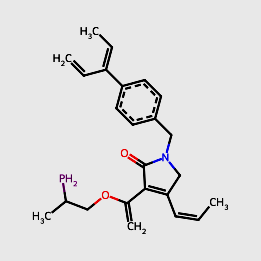 C=C/C(=C\C)c1ccc(CN2CC(/C=C\C)=C(C(=C)OCC(C)P)C2=O)cc1